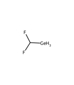 F[CH](F)[GeH3]